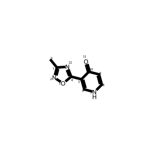 Cc1noc(-c2c[nH]ccc2=O)n1